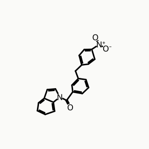 O=C(c1cccc(Cc2ccc([N+](=O)[O-])cc2)c1)n1ccc2ccccc21